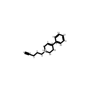 C#C[CH]CCN1CC=C(c2ccccc2)CC1